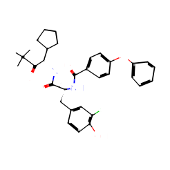 CC(C)(C)C(=O)[C@@H](NC(=O)[C@H](Cc1ccc(O)c(Cl)c1)NC(=O)c1ccc(Oc2ccccc2)cc1)C1CCCC1